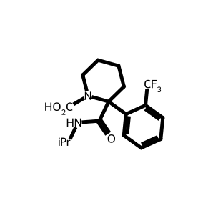 CC(C)NC(=O)C1(c2ccccc2C(F)(F)F)CCCCN1C(=O)O